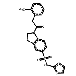 COc1ccccc1CC(=O)N1CCc2cc(S(=O)(=O)Nc3nccs3)ccc21